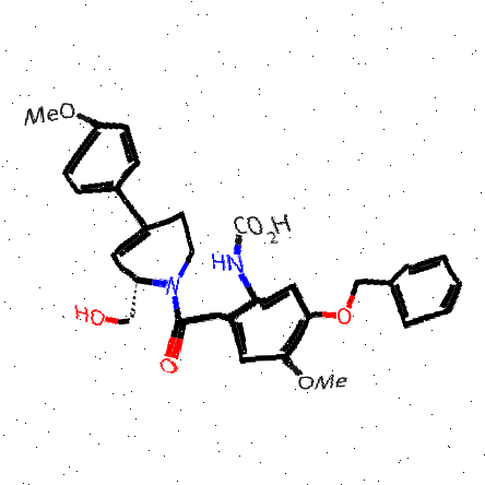 COc1ccc(C2=C[C@@H](CO)N(C(=O)c3cc(OC)c(OCc4ccccc4)cc3NC(=O)O)CC2)cc1